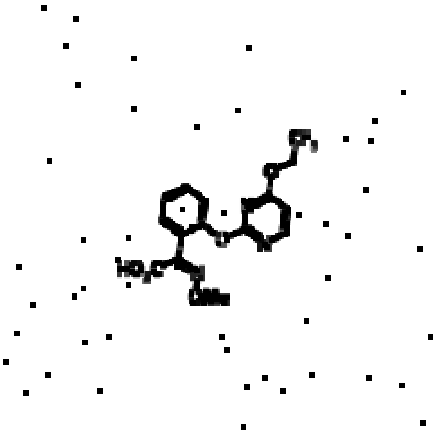 CON=C(C(=O)O)c1ccccc1Oc1nccc(OCC(F)(F)F)n1